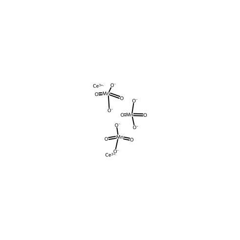 [Ce+3].[Ce+3].[O]=[Mn](=[O])([O-])[O-].[O]=[Mn](=[O])([O-])[O-].[O]=[Mn](=[O])([O-])[O-]